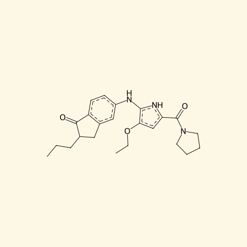 CCCC1Cc2cc(Nc3[nH]c(C(=O)N4CCCC4)cc3OCC)ccc2C1=O